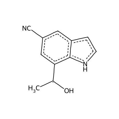 C[C](O)c1cc(C#N)cc2cc[nH]c12